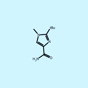 Cn1cc(C(N)=O)nc1C(C)(C)C